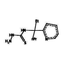 CCCC(CC)(NC(=S)NN)c1ccccn1